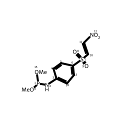 COP(Nc1ccc(S(=O)(=O)C=C[N+](=O)[O-])cc1)OC